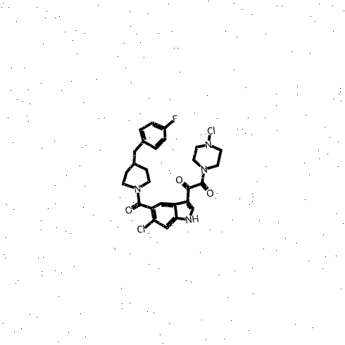 O=C(C(=O)N1CCN(Cl)CC1)c1c[nH]c2cc(Cl)c(C(=O)N3CCC(Cc4ccc(F)cc4)CC3)cc12